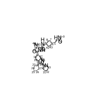 CNC(=O)C=Cc1ccc(NC(=O)C2(NC(=O)c3ccc4c(C5CCCCC5)n(-c5ccccn5)nc4c3)CN(C)C2)cc1